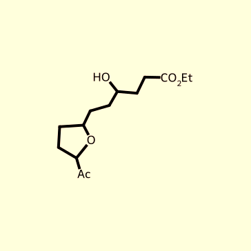 CCOC(=O)CCC(O)CCC1CCC(C(C)=O)O1